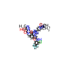 Cc1ncnc(C(=O)N2CCC3(CCCc4c3c(=O)n3nc(C5=CCN(C(=O)N(C)C)CC5)nc3n4CC(=O)Nc3ccc(C(F)(F)F)cc3Cl)CC2)c1O